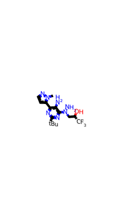 Cn1nccc1-c1nc(C(C)(C)C)nc(N(N)CC(O)C(F)(F)F)c1N